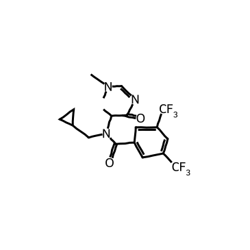 CC(C(=O)/N=C\N(C)C)N(CC1CC1)C(=O)c1cc(C(F)(F)F)cc(C(F)(F)F)c1